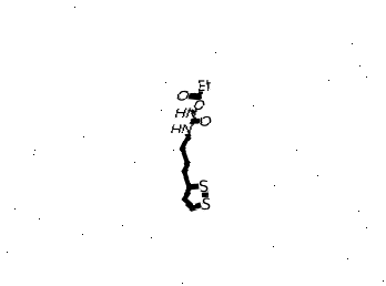 CCC(=O)ONC(=O)NCCCCC1CCSS1